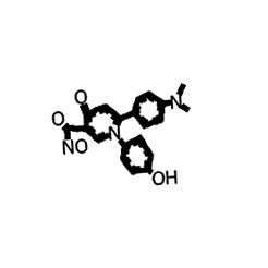 CN(C)c1ccc(-c2cc(=O)c(C(=O)N=O)cn2-c2ccc(O)cc2)cc1